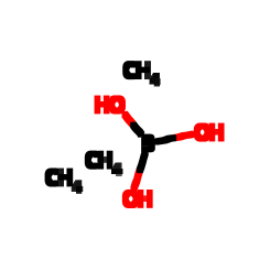 C.C.C.OB(O)O